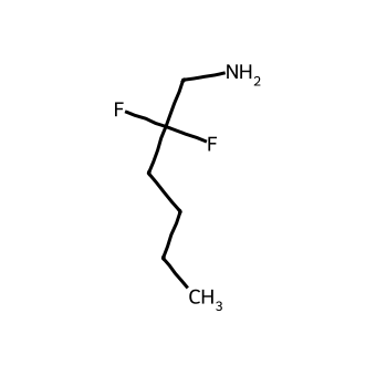 CCCCC(F)(F)CN